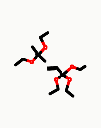 C=C[Si](OCC)(OCC)OCC.CCO[Si](C)(C)OCC